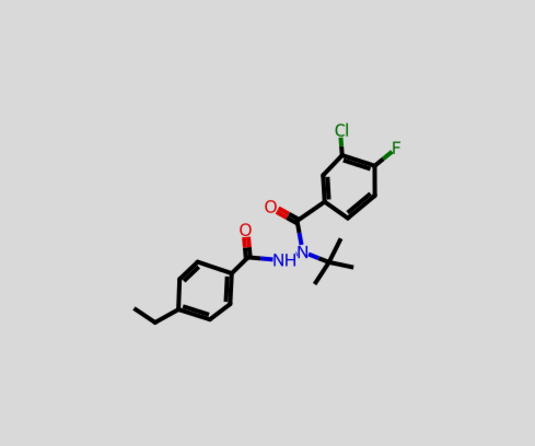 CCc1ccc(C(=O)NN(C(=O)c2ccc(F)c(Cl)c2)C(C)(C)C)cc1